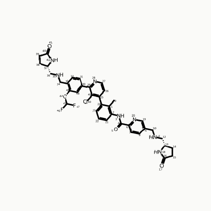 Cc1c(NC(=O)c2ccc(CNC[C@@H]3CCC(=O)N3)cn2)cccc1-c1ccnc(-c2ccc(CNC[C@@H]3CCC(=O)N3)c(OC(F)F)c2)c1Cl